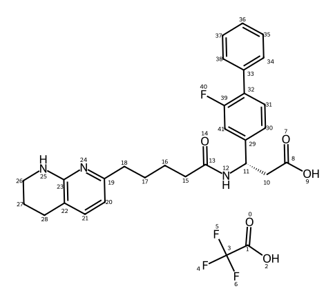 O=C(O)C(F)(F)F.O=C(O)C[C@H](NC(=O)CCCCc1ccc2c(n1)NCCC2)c1ccc(-c2ccccc2)c(F)c1